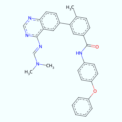 Cc1ccc(C(=O)Nc2ccc(Oc3ccccc3)cc2)cc1-c1ccc2ncnc(/N=C/N(C)C)c2c1